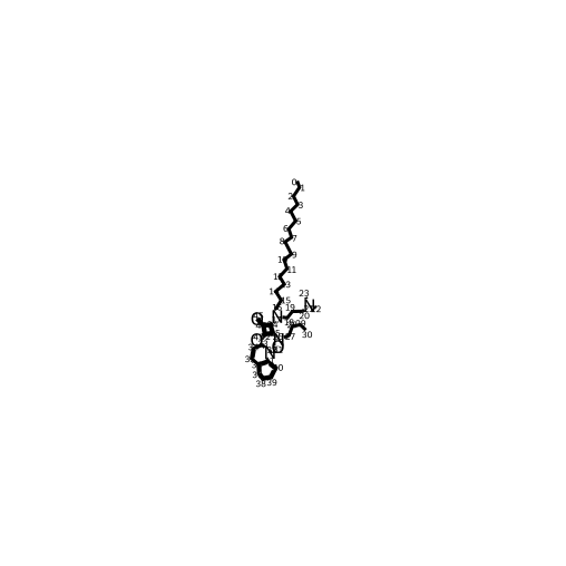 CCCCCCCCCCCCCCCCCN(CCCN(C)C)c1c(N(CCCC)ON2CC=Cc3ccccc32)c(=O)c1=O